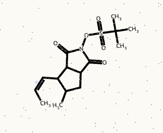 C/C=C\C1C(C)CC2C(=O)N(OS(=O)(=O)C(C)(C)C)C(=O)C21